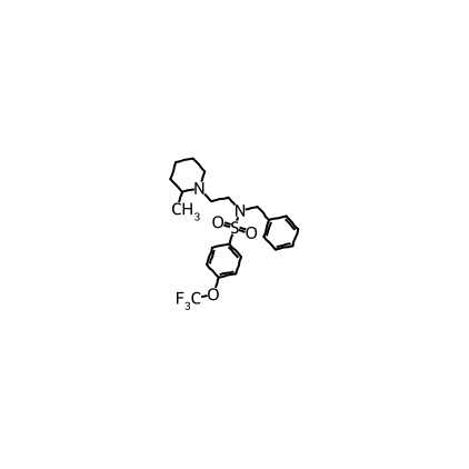 CC1CCCCN1CCN(Cc1ccccc1)S(=O)(=O)c1ccc(OC(F)(F)F)cc1